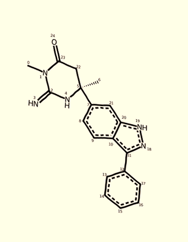 CN1C(=N)N[C@](C)(c2ccc3c(-c4ccccc4)n[nH]c3c2)CC1=O